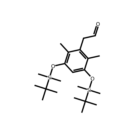 Cc1c(O[Si](C)(C)C(C)(C)C)cc(O[Si](C)(C)C(C)(C)C)c(C)c1CC=O